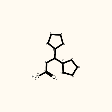 NC(=O)CC(C1CCCC1)C1CCCC1